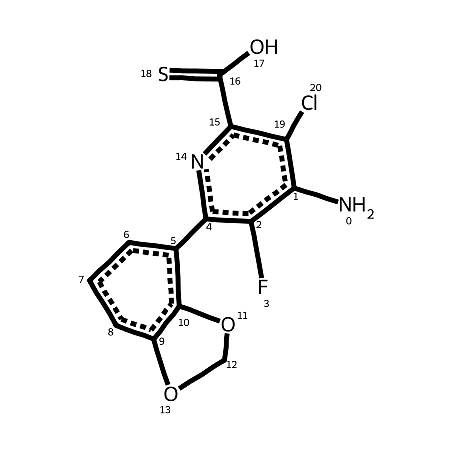 Nc1c(F)c(-c2cccc3c2OCO3)nc(C(O)=S)c1Cl